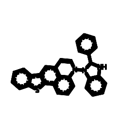 C1=CN(N2c3ccccc3NC2c2ccccc2)c2cccc3c2c1cc1c2ccccc2sc31